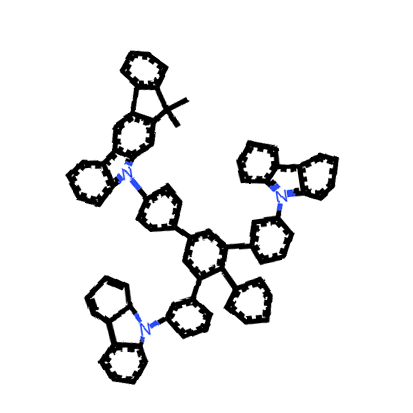 CC1(C)c2ccccc2-c2cc3c4ccccc4n(-c4ccc(-c5cc(-c6cccc(N7c8ccccc8C8C=CC=CC87)c6)c(-c6ccccc6)c(-c6cccc(-n7c8ccccc8c8ccccc87)c6)c5)cc4)c3cc21